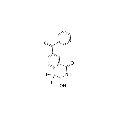 O=C(c1ccccc1)c1ccc2c(c1)C(=O)NC(O)C2(F)F